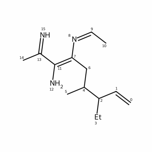 C=CC(CC)C(C)CC(/N=C\C)=C(\N)C(C)=N